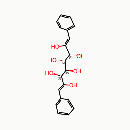 OC(=Cc1ccccc1)[C@@H](O)[C@H](O)[C@H](O)[C@@H](O)C(O)=Cc1ccccc1